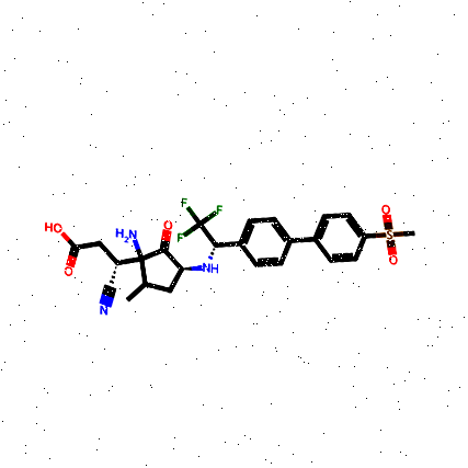 CC1C[C@H](N[C@@H](c2ccc(-c3ccc(S(C)(=O)=O)cc3)cc2)C(F)(F)F)C(=O)C1(N)[C@H](C#N)CC(=O)O